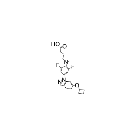 CN(CCCC(=O)O)c1c(F)cc(-n2ncc3ccc(OC4CCC4)cc32)cc1F